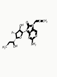 C=C=Cn1c(=O)n([C@@H]2O[C@H](C(O)CC)[C@H](F)[C@H]2O)c2nc(N)ncc21